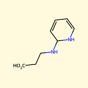 O=C(O)CCN[C]1C=CC=CN1